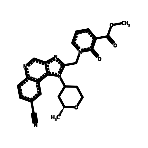 COC(=O)c1cccn(Cc2nc3cnc4ccc(C#N)cc4c3n2C2CCO[C@H](C)C2)c1=O